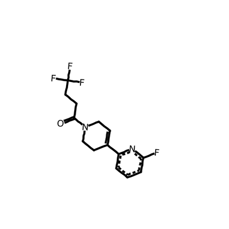 O=C(CCC(F)(F)F)N1CC=C(c2cccc(F)n2)CC1